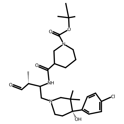 C[C@@H](C=O)C(CN1CC[C@](O)(c2ccc(Cl)cc2)C(C)(C)C1)NC(=O)C1CCCN(C(=O)OC(C)(C)C)C1